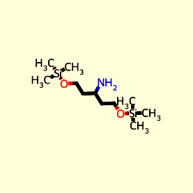 C[Si](C)(C)OCCC(N)CCO[Si](C)(C)C